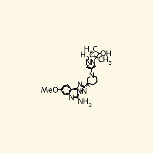 COc1ccc2c(c1)nc(N)n1nc([C@@H]3CCCN(c4cnn(C(C)(C)C(C)O)c4)C3)nc21